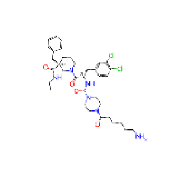 CCNC(=O)[C@]1(Cc2ccccc2)CCCN(C(=O)[C@@H](Cc2ccc(Cl)c(Cl)c2)NC(=O)N2CCN(C(=O)CCCCCN)CC2)C1